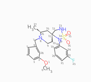 COc1cccc(CN2CC[C@]3(CNS(=O)(=O)N3c3cccc(F)c3)C[C@@H]2C)c1